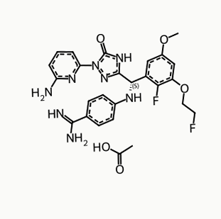 CC(=O)O.COc1cc(OCCF)c(F)c([C@H](Nc2ccc(C(=N)N)cc2)c2nn(-c3cccc(N)n3)c(=O)[nH]2)c1